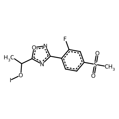 CC(OI)c1nc(-c2ccc(S(C)(=O)=O)cc2F)no1